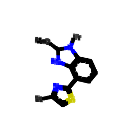 CCc1csc(-c2cccc3c2NC(OC)N3C(C)C)n1